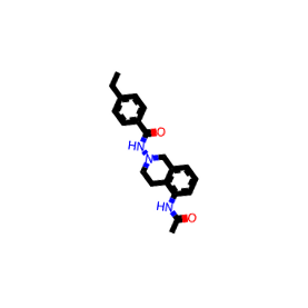 CCc1ccc(C(=O)NN2CCc3c(cccc3NC(C)=O)C2)cc1